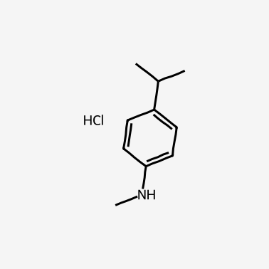 CNc1ccc(C(C)C)cc1.Cl